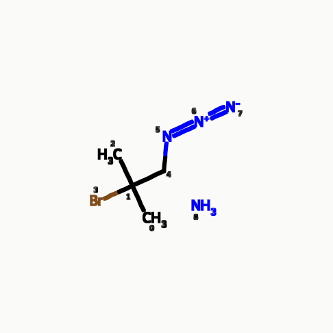 CC(C)(Br)CN=[N+]=[N-].N